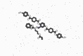 C=CC(=O)OCCCN(/N=C/c1cc(OC(=O)C2CCC(C(=O)Oc3ccc(CCC)cc3)CC2)ccc1OC(=O)C1CCC(C(=O)Oc2ccc(CCC)cc2)CC1)c1nc2ccccc2s1